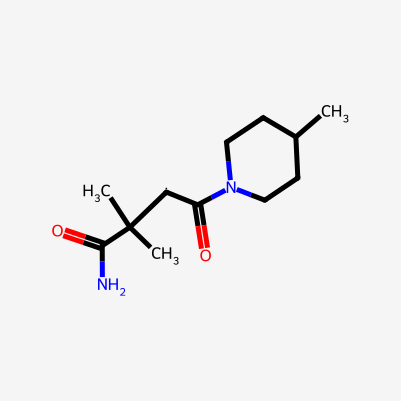 CC1CCN(C(=O)[CH]C(C)(C)C(N)=O)CC1